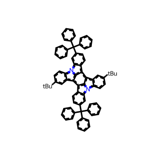 CC(C)(C)c1ccc2c(c1)c1c3c4ccc(C(c5ccccc5)(c5ccccc5)c5ccccc5)cc4n4c5ccc(C(C)(C)C)cc5c(c5c6ccc(C(c7ccccc7)(c7ccccc7)c7ccccc7)cc6n2c15)c34